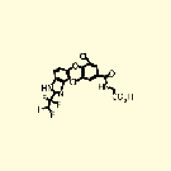 O=C(O)CNC(=O)c1cc(Cl)c(Oc2ccc3[nH]c(C(F)(F)C(F)F)nc3c2)c(Cl)c1